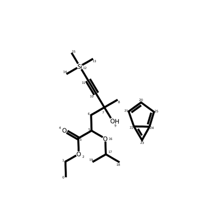 CCOC(=O)C(CC(C)(O)C#C[Si](C)(C)C)OC(C)C.c1cc2cc-2c1